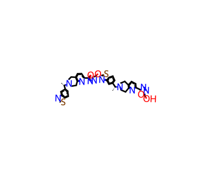 C[C@H](c1ccc2sc(Oc3nnc(-c4ccc5c(n4)CCN([C@@H](C)c4ccc6scnc6c4)CC5)o3)nc2c1)N1CCc2ccc(-c3nnc(O)o3)nc2CC1